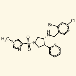 Cn1cnc(S(=O)(=O)N2C[C@H](NCc3ccc(Cl)cc3Br)[C@@H](c3ccccn3)C2)c1